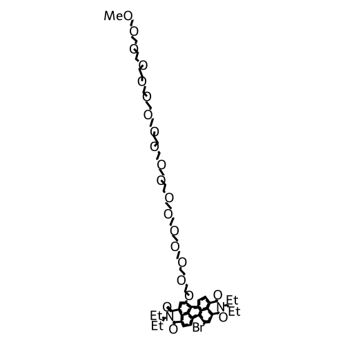 CCC(CC)N1C(=O)c2ccc3c4c(OCCOCCOCCOCCOCCOCCOCCOCCOCCOCCOCCOCCOCCOCCOCCOCCOCCOC)cc5c6c(ccc(c7c(Br)cc(c2c37)C1=O)c64)C(=O)N(C(CC)CC)C5=O